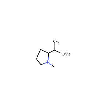 COC(C1CCCN1C)C(F)(F)F